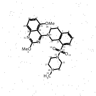 COc1nc(N2CCc3cccc(S(=O)(=O)N4CCN(C)CC4)c3C2)c2c(OC)cccc2n1